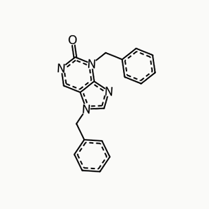 O=c1ncc2c(ncn2Cc2ccccc2)n1Cc1ccccc1